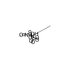 CCCCCCCCCCCCCCCCCCN(C(=O)c1cc(CNc2ccc(OC)cc2)c2ccccc2c1O)c1cc(C(=O)OC)cc(C(=O)OC)c1